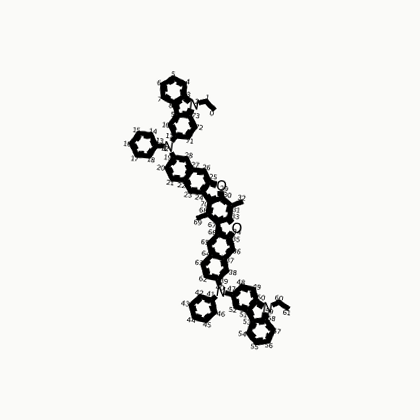 CCn1c2ccccc2c2cc(N(c3ccccc3)c3ccc4cc5c(cc4c3)oc3c(C)c4oc6cc7cc(N(c8ccccc8)c8ccc9c(c8)c8ccccc8n9CC)ccc7cc6c4c(C)c35)ccc21